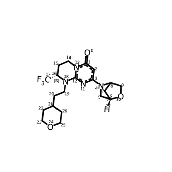 O=c1cc(N2C[C@@H]3CC2CO3)nc2n1CC[C@@H](C(F)(F)F)N2CCC1CCOCC1